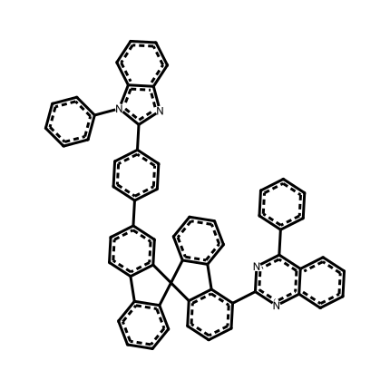 c1ccc(-c2nc(-c3cccc4c3-c3ccccc3C43c4ccccc4-c4ccc(-c5ccc(-c6nc7ccccc7n6-c6ccccc6)cc5)cc43)nc3ccccc23)cc1